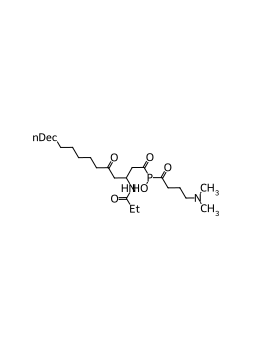 CCCCCCCCCCCCCCCC(=O)CC(CC(=O)P(O)C(=O)CCCN(C)C)NC(=O)CC